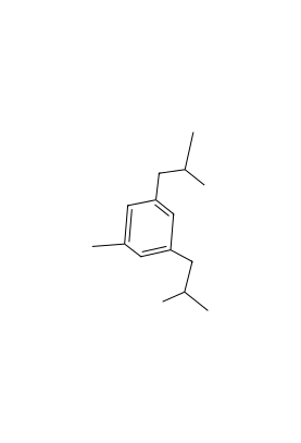 Cc1cc(CC(C)C)cc(CC(C)C)c1